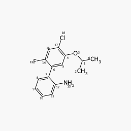 CC(C)Oc1cc(-c2ccccc2N)c(F)cc1Cl